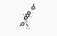 CC(C)C1CCC(NS(=O)(=O)c2ccc3c(c2)/C(=N\O)c2cc(S(=O)(=O)N(CCCN(C)C)C4CCC(C(C)(C)C)CC4)ccc2/C3=N\O)CC1